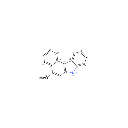 COc1cc2[nH]c3ccccc3c2c2ccccc12